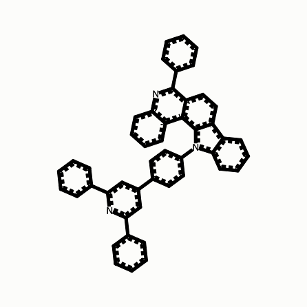 c1ccc(-c2cc(-c3ccc(-n4c5ccccc5c5ccc6c(-c7ccccc7)nc7ccccc7c6c54)cc3)cc(-c3ccccc3)n2)cc1